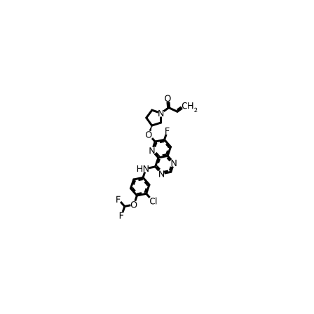 C=CC(=O)N1CC[C@H](Oc2nc3c(Nc4ccc(OC(F)F)c(Cl)c4)ncnc3cc2F)C1